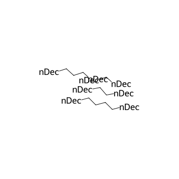 CCCCCCCCCCCCCCCCCCCCC.CCCCCCCCCCCCCCCCCCCCCC.CCCCCCCCCCCCCCCCCCCCCCC.CCCCCCCCCCCCCCCCCCCCCCCC